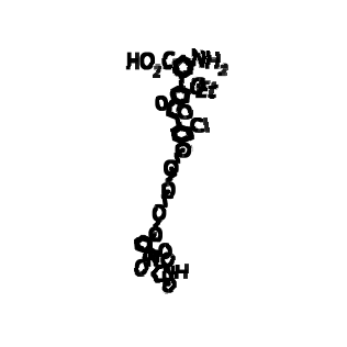 CCOc1cc2oc(-c3ccc(OCCOCCOCCOCCOc4cccc5c4C(=O)N(C4CCC(=O)NC4=O)C5=O)cc3Cl)cc(=O)c2cc1-c1cc(N)cc(C(=O)O)c1